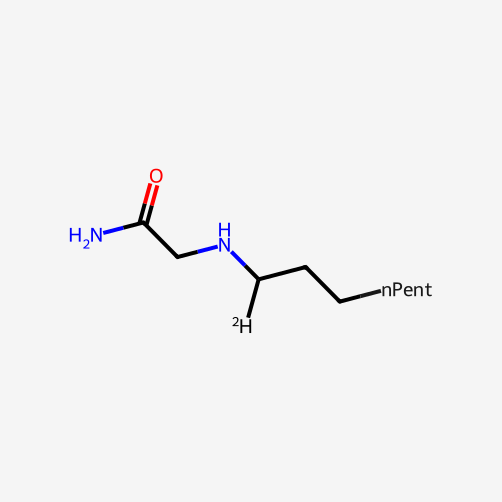 [2H]C(CCCCCCC)NCC(N)=O